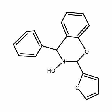 ON1C(c2ccco2)Oc2ccccc2C1c1ccccc1